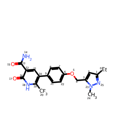 CCc1cc(COc2ccc(-c3cc(C(N)=O)c(=O)[nH]c3C(F)(F)F)cc2)n(C)n1